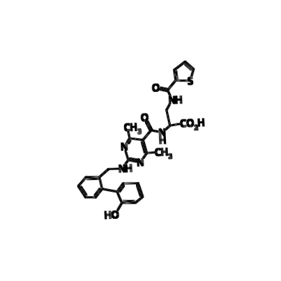 Cc1nc(NCc2ccccc2-c2ccccc2O)nc(C)c1C(=O)NC(CNC(=O)c1cccs1)C(=O)O